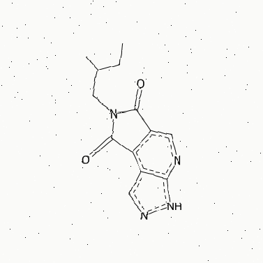 CCC(C)CN1C(=O)c2cnc3[nH]ncc3c2C1=O